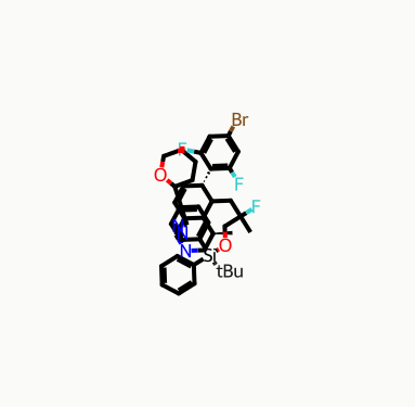 C[C@H]1CN=C2N=NC(C3CCCCO3)C23C=C[C@H](c2c(F)cc(Br)cc2F)C(CC(C)(F)CO[Si](c2ccccc2)(c2ccccc2)C(C)(C)C)C13